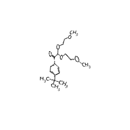 COCCOC(OCCOC)C(=O)c1ccc(C(C)(C)C)cc1